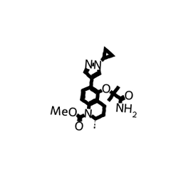 COC(=O)N1c2ccc(-c3cnn(C4CC4)c3)c(OC(C)(C)C(N)=O)c2CC[C@@H]1C